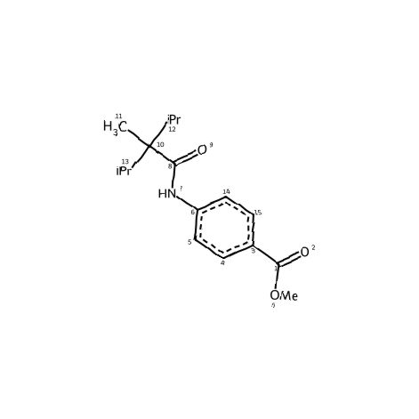 COC(=O)c1ccc(NC(=O)C(C)(C(C)C)C(C)C)cc1